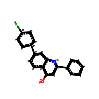 Oc1cc(-c2ccccc2)nc2cc(-c3ccc(F)cc3)ccc12